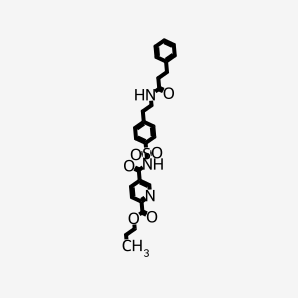 CCCOC(=O)c1ccc(C(=O)NS(=O)(=O)c2ccc(CCNC(=O)CCc3ccccc3)cc2)cn1